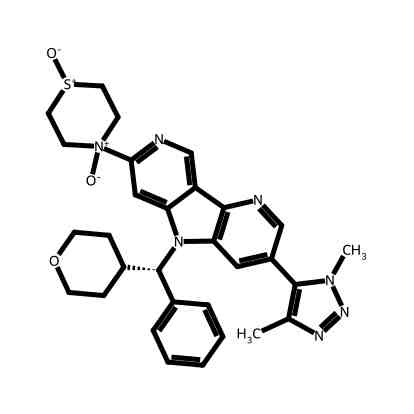 Cc1nnn(C)c1-c1cnc2c3cnc([N+]4([O-])CC[S+]([O-])CC4)cc3n([C@H](c3ccccc3)C3CCOCC3)c2c1